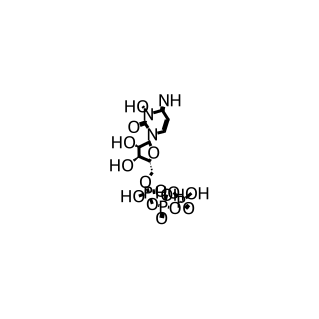 N=c1ccn([C@@H]2O[C@H](COP(=O)(O)OP(=O)(O)OP(=O)(O)O)[C@@H](O)[C@H]2O)c(=O)n1O